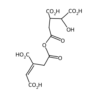 O=C(O)C=C(CC(=O)OC(=O)CC(C(=O)O)C(O)C(=O)O)C(=O)O